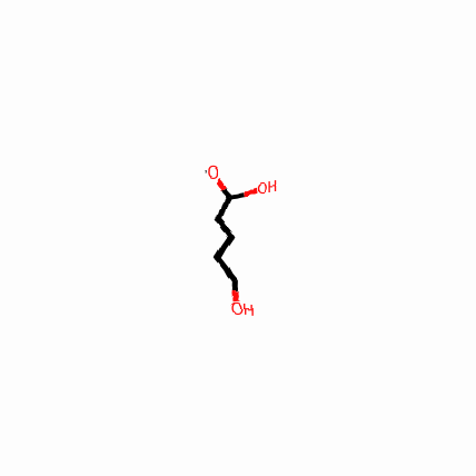 [O]C(O)CCCCO